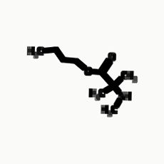 CCCCOC(=O)C(C)(C)NC